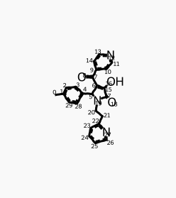 Cc1ccc(C2C(C(=O)c3ccncc3)=C(O)C(=O)N2CCc2ccccn2)cc1